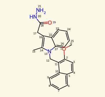 COc1ccc2ccccc2c1Cn1c(C)c(CC(=O)NN)c2ccccc21